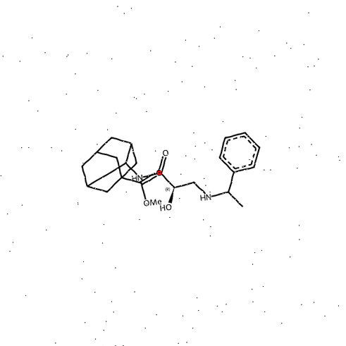 COC(=O)C12CC3CC(C1)C(NC(=O)[C@H](O)CNC(C)c1ccccc1)C(C3)C2